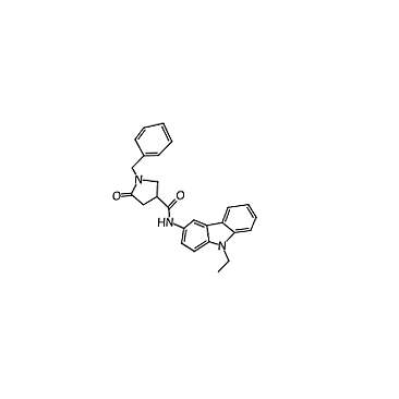 CCn1c2ccccc2c2cc(NC(=O)C3CC(=O)N(Cc4ccccc4)C3)ccc21